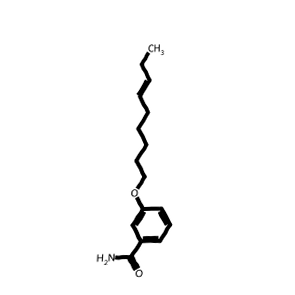 CCC=CCCCCCOc1cccc(C(N)=O)c1